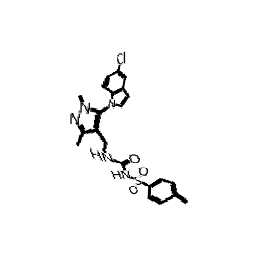 Cc1ccc(S(=O)(=O)NC(=O)NCc2c(C)nn(C)c2-n2ccc3cc(Cl)ccc32)cc1